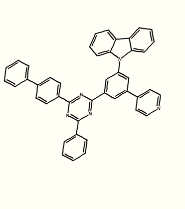 c1ccc(-c2ccc(-c3nc(-c4ccccc4)nc(-c4cc(-c5ccncc5)cc(-n5c6ccccc6c6ccccc65)c4)n3)cc2)cc1